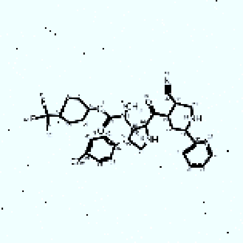 CN(C(=O)OC1CCC(C(F)(F)F)CC1)[C@H]1C(C(=O)C2CC(c3ccccn3)NCC2C#N)NC[C@@H]1c1ccc(Cl)cc1